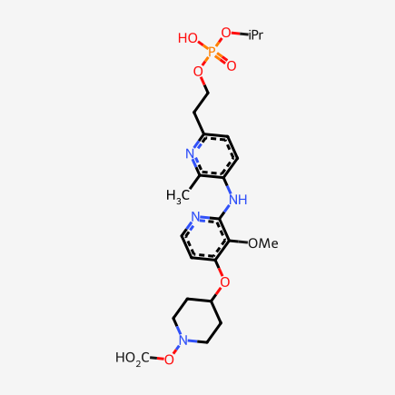 COc1c(OC2CCN(OC(=O)O)CC2)ccnc1Nc1ccc(CCOP(=O)(O)OC(C)C)nc1C